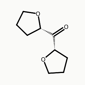 O=C([C@@H]1CCCO1)[C@@H]1CCCO1